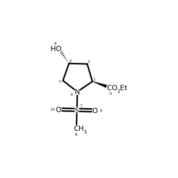 CCOC(=O)[C@@H]1C[C@@H](O)CN1S(C)(=O)=O